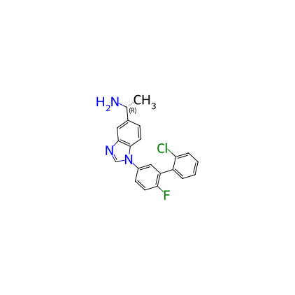 C[C@@H](N)c1ccc2c(c1)ncn2-c1ccc(F)c(-c2ccccc2Cl)c1